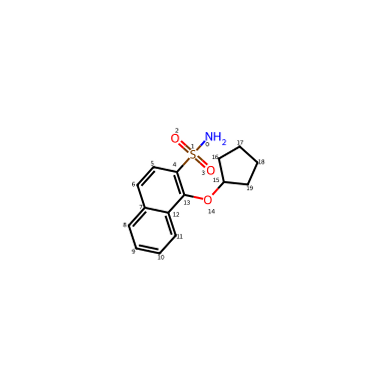 NS(=O)(=O)c1ccc2ccccc2c1OC1CCCC1